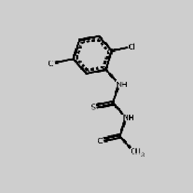 CC(=O)NC(=S)Nc1cc(Cl)ccc1Cl